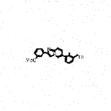 COc1cccc(-c2cn3cc(-c4cccc(CO)c4F)ccc3n2)c1